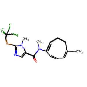 C/C1=C/C=C\C(N(C)C(=O)c2cnc(SC(F)(F)F)n2C)=C/CC1